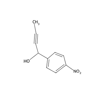 CC#CC(O)c1ccc([N+](=O)[O-])cc1